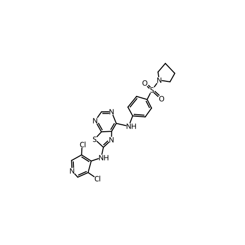 O=S(=O)(c1ccc(Nc2ncnc3sc(Nc4c(Cl)cncc4Cl)nc23)cc1)N1CCCC1